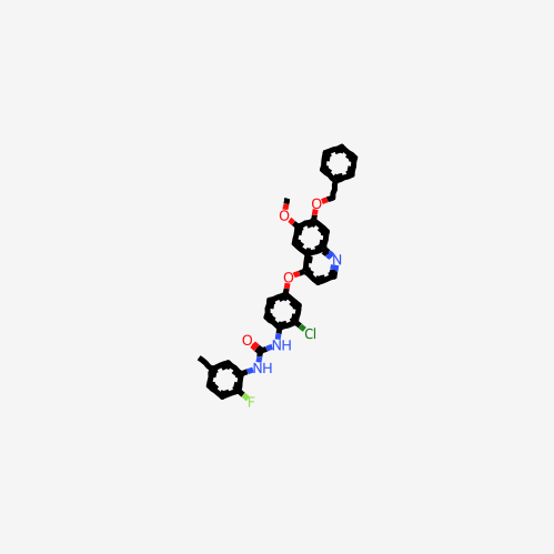 COc1cc2c(Oc3ccc(NC(=O)Nc4cc(C)ccc4F)c(Cl)c3)ccnc2cc1OCc1ccccc1